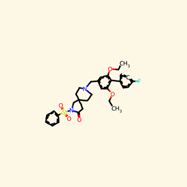 CCOc1cc(CN2CCC3(CC2)CC(=O)N(S(=O)(=O)c2ccccc2)C3)cc(OCC)c1-c1ccc(F)cc1